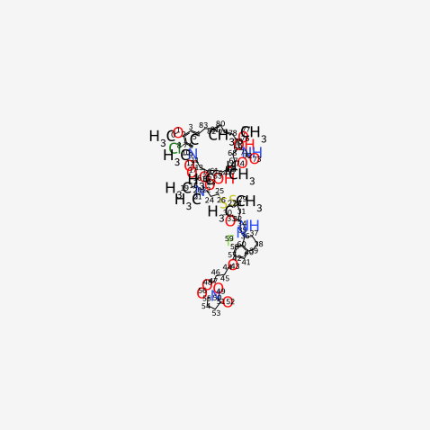 COc1cc2cc(c1Cl)N(C)C(=O)C[C@H](OC(=O)[C@H](C)N(C)C(=O)CCSSC(C)(C)CC(=O)N/N=C1\CCCc3cc(OCCCC(=O)ON4C(=O)CCC4=O)cc(F)c31)C(C)(O)C[C@H](C)[C@@H]1C[C@@](O)(NC(=O)O1)[C@H](OC)/C=C/C=C(\C)C2